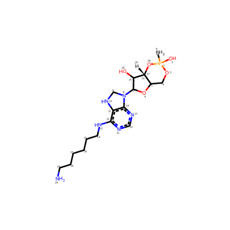 B[PH]1(O)OCC2OC(N3CNc4c(NCCCCCCN)ncnc43)C(O)[C@@H]2O1